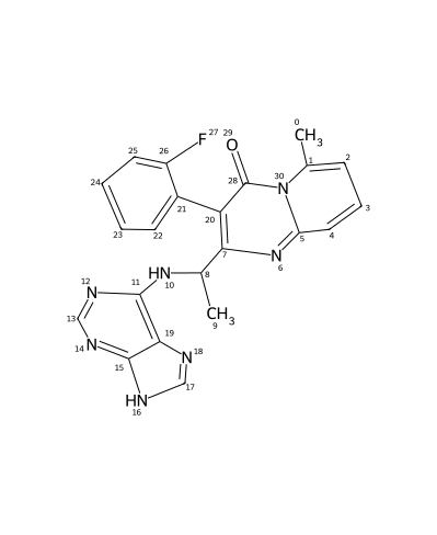 Cc1cccc2nc(C(C)Nc3ncnc4[nH]cnc34)c(-c3ccccc3F)c(=O)n12